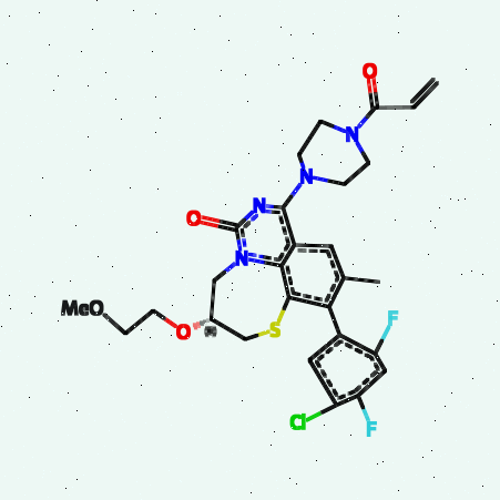 C=CC(=O)N1CCN(c2nc(=O)n3c4c(c(-c5cc(Cl)c(F)cc5F)c(C)cc24)SC[C@H](OCCOC)C3)CC1